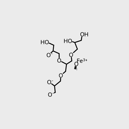 [C]=O.[Fe+3].[O-]CC([O-])COCC(COCC(O)CO)OCC([O-])CO